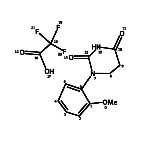 COc1ccccc1N1CCC(=O)NC1=O.O=C(O)C(F)(F)F